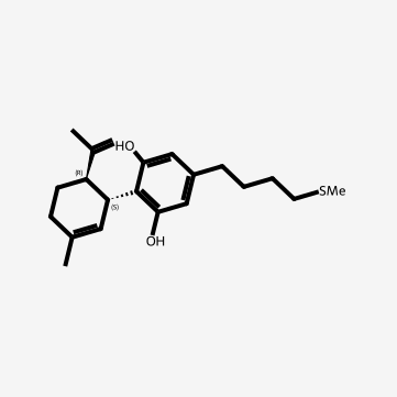 C=C(C)[C@@H]1CCC(C)=C[C@H]1c1c(O)cc(CCCCSC)cc1O